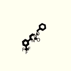 O=c1nc(-c2cccc(C(F)(F)F)c2)ccn1OCC1=CCCCC1